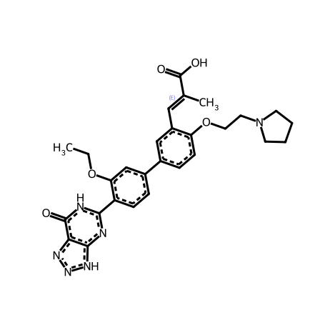 CCOc1cc(-c2ccc(OCCN3CCCC3)c(/C=C(\C)C(=O)O)c2)ccc1-c1nc2[nH]nnc2c(=O)[nH]1